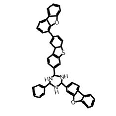 C1=CC2Sc3cc(C4NC(c5ccccc5)NC(c5ccc6c(c5)oc5ccccc56)N4)ccc3C2C=C1c1cccc2c1oc1ccccc12